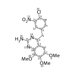 COc1cc2c(Cc3ccc(Cl)c([N+](=O)[O-])c3)nc(N)nc2c(OC)c1OC